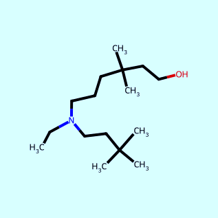 CCN(CCCC(C)(C)CCO)CCC(C)(C)C